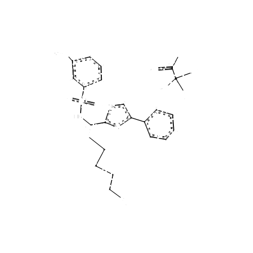 COc1cccc(S(=O)(=O)N[C@@H](CCCCCC(C)=O)c2ncc(-c3ccccc3)[nH]2)c1.O=C(O)C(F)(F)F